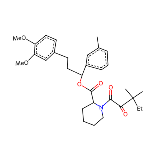 CCC(C)(C)C(=O)C(=O)N1CCCCC1C(=O)OC(CCc1ccc(OC)c(OC)c1)c1cccc(C)c1